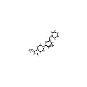 CC(C)N1CCN(C2=[C]NCC(CN3CCCCC3)=N2)CC1